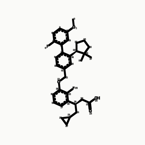 COc1ccc(F)c(-c2ccc(COc3cccc([C@@H](CC(=O)O)CC4CC4)c3F)cc2[C@H]2CCCC2(C)C)c1